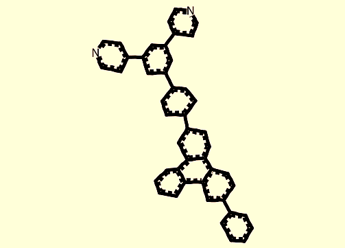 c1ccc(-c2ccc3c4ccc(-c5ccc(-c6cc(-c7ccncc7)cc(-c7ccncc7)c6)cc5)cc4c4ccccc4c3c2)cc1